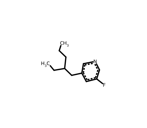 CCCC(CC)Cc1cncc(F)c1